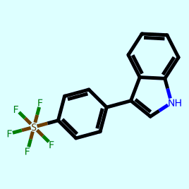 FS(F)(F)(F)(F)c1ccc(-c2c[nH]c3ccccc23)cc1